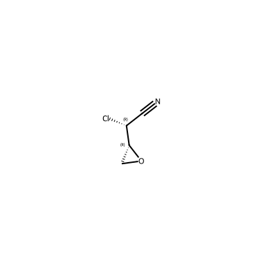 N#C[C@@H](Cl)[C@H]1CO1